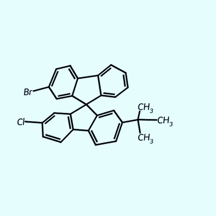 CC(C)(C)c1ccc2c(c1)C1(c3ccccc3-c3ccc(Br)cc31)c1cc(Cl)ccc1-2